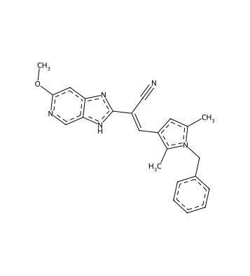 COc1cc2nc(/C(C#N)=C/c3cc(C)n(Cc4ccccc4)c3C)[nH]c2cn1